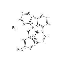 CC(C)c1cccc(C[P+](c2ccccc2)(c2ccccc2)c2ccccc2)c1.[Br-]